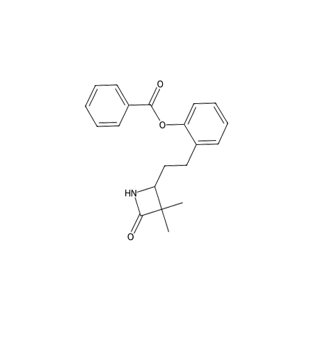 CC1(C)C(=O)NC1CCc1ccccc1OC(=O)c1ccccc1